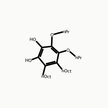 CCCCCCCCc1c(O)c(O)c(OCCC)c(OCCC)c1CCCCCCCC